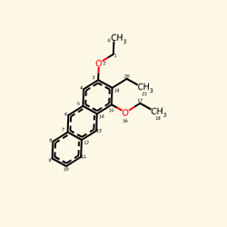 CCOc1cc2cc3ccccc3cc2c(OCC)c1CC